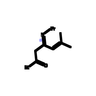 CCC(=O)C/C(C=C(C)C)=N/C(C)C